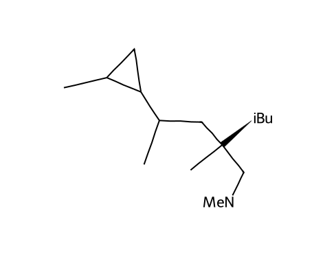 CC[C@H](C)C(C)(CNC)CC(C)C1CC1C